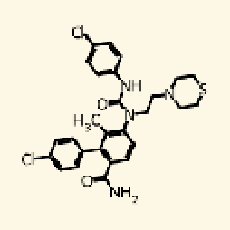 Cc1c(N(CCN2CCSCC2)C(=O)Nc2ccc(Cl)cc2)ccc(C(N)=O)c1-c1ccc(Cl)cc1